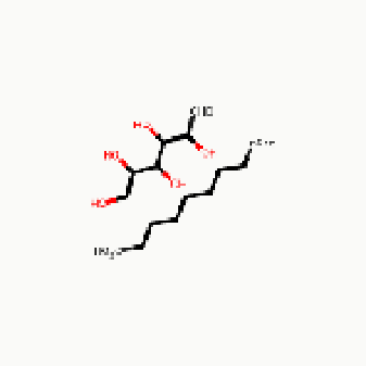 CCCCCCCCCCCCCCCCCC(=O)O.O=CC(O)C(O)C(O)C(O)CO